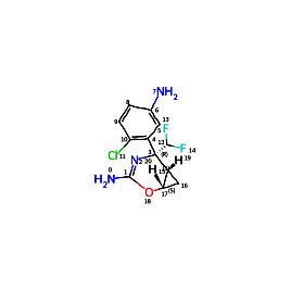 NC1=N[C@](c2cc(N)ccc2Cl)(C(F)F)[C@@H]2C[C@@H]2O1